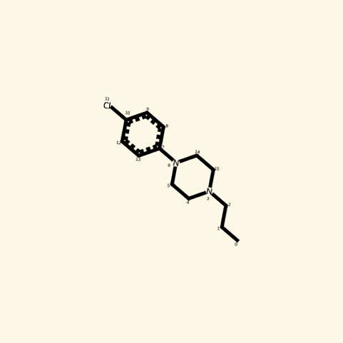 CCCN1CCN(c2ccc(Cl)cc2)CC1